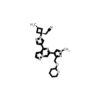 Cn1cc(-c2cn3nccc3c(-c3cnn([C@]4(CC#N)C[C@@H](C)C4)c3)n2)c(COC2CCCCO2)n1